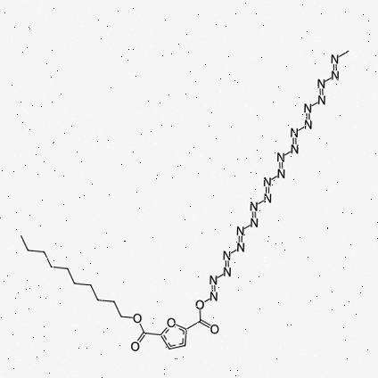 CCCCCCCCCCOC(=O)c1ccc(C(=O)ON=NN=NN=NN=NN=NN=NN=NN=NN=NN=NC)o1